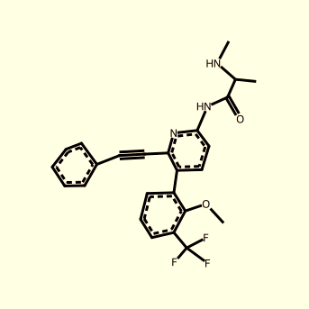 CNC(C)C(=O)Nc1ccc(-c2cccc(C(F)(F)F)c2OC)c(C#Cc2ccccc2)n1